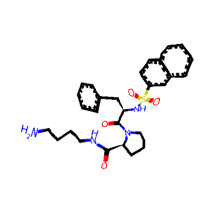 NCCCCNC(=O)[C@@H]1CCCN1C(=O)[C@@H](Cc1ccccc1)NS(=O)(=O)c1ccc2ccccc2c1